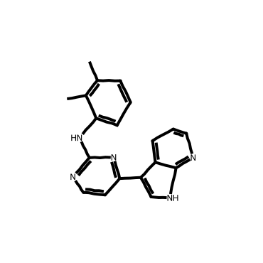 Cc1cccc(Nc2nccc(-c3c[nH]c4ncccc34)n2)c1C